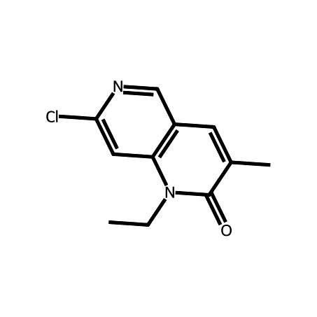 CCn1c(=O)c(C)cc2cnc(Cl)cc21